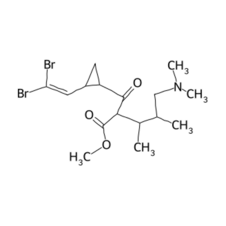 COC(=O)C(C(=O)C1CC1C=C(Br)Br)C(C)C(C)CN(C)C